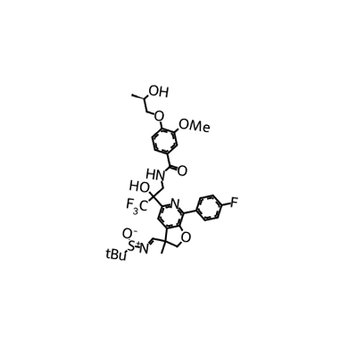 COc1cc(C(=O)NCC(O)(c2cc3c(c(-c4ccc(F)cc4)n2)OCC3(C)/C=N/[S+]([O-])C(C)(C)C)C(F)(F)F)ccc1OC[C@@H](C)O